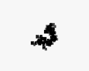 COc1cn(C)nc1C(C)Nc1nccc(-c2cccc(-c3cc([C@]4(O)CCN(C)C4=O)on3)n2)n1